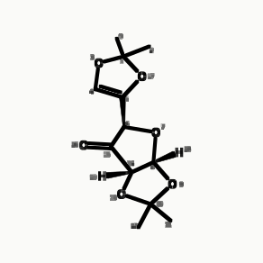 CC1(C)OC=C([C@H]2O[C@@H]3OC(C)(C)O[C@@H]3C2=O)O1